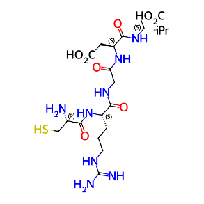 CC(C)[C@H](NC(=O)[C@H](CC(=O)O)NC(=O)CNC(=O)[C@H](CCCNC(=N)N)NC(=O)[C@@H](N)CS)C(=O)O